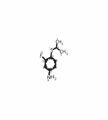 CC(C)Sc1ccc(N)cc1F